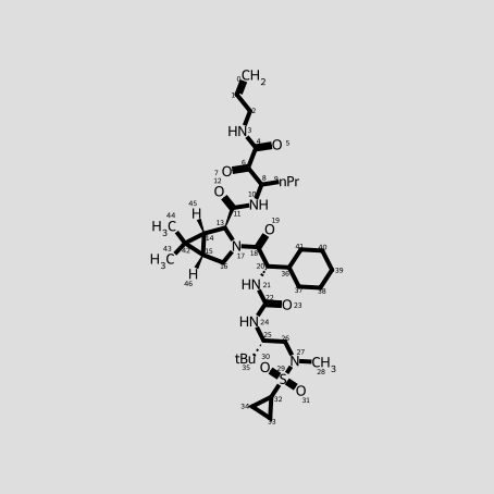 C=CCNC(=O)C(=O)C(CCC)NC(=O)[C@@H]1[C@@H]2[C@H](CN1C(=O)[C@@H](NC(=O)N[C@H](CN(C)S(=O)(=O)C1CC1)C(C)(C)C)C1CCCCC1)C2(C)C